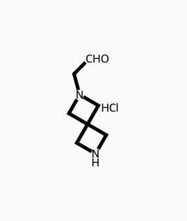 Cl.O=CCN1CC2(CNC2)C1